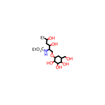 CCOC(=O)NC(COC1CC(CO)C(O)C(O)C1O)C(O)CC(O)CC